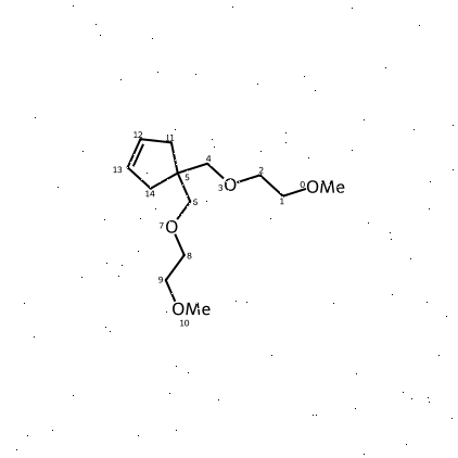 COCCOCC1(COCCOC)CC=CC1